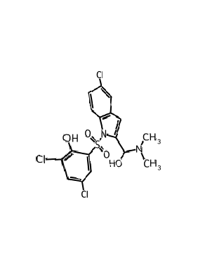 CN(C)C(O)c1cc2cc(Cl)ccc2n1S(=O)(=O)c1cc(Cl)cc(Cl)c1O